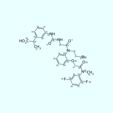 CCC(C)CCN(C(=O)CNC(=O)Nc1cccc(C(C)C(=O)O)c1)c1ccccc1OCC(=O)N(C)c1cc(F)ccc1F